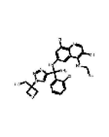 BC(Nc1cc(Cl)c2ncc(C#N)c(NCC(C)(C)C)c2c1)(c1cn(C2(CO)COC2)nn1)c1ccccc1Cl